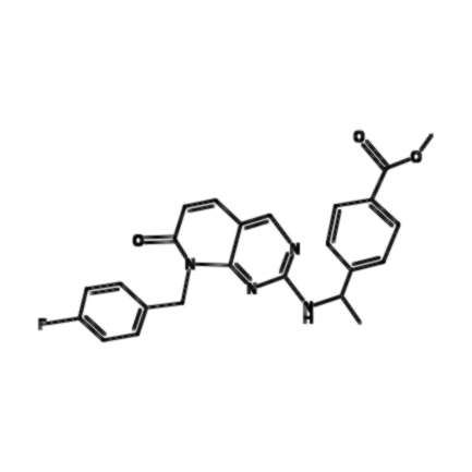 COC(=O)c1ccc(C(C)Nc2ncc3ccc(=O)n(Cc4ccc(F)cc4)c3n2)cc1